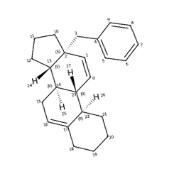 C1=C[C@]2(Cc3ccccc3)CCC[C@H]2[C@@H]2CC=C3CCCC[C@@H]3[C@@H]12